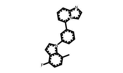 Cc1ccc(F)c2ccn(-c3cccc(-c4cccc5nccn45)c3)c12